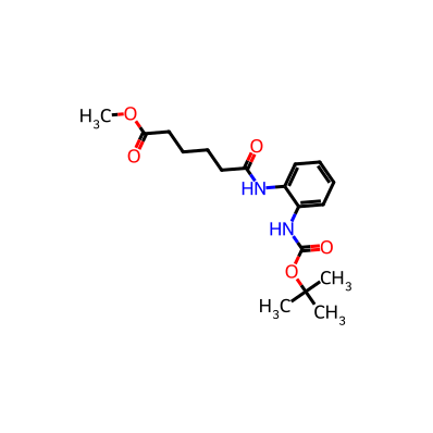 COC(=O)CCCCC(=O)Nc1ccccc1NC(=O)OC(C)(C)C